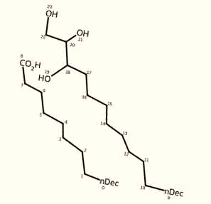 CCCCCCCCCCCCCCCCCC(=O)O.CCCCCCCCCCCCCCCCCCC(O)C(O)CO